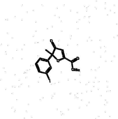 COC(=O)C1=CC(=O)C(C)(c2cccc(I)c2)O1